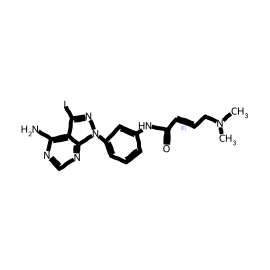 CN(C)C/C=C/C(=O)Nc1cccc(-n2nc(I)c3c(N)ncnc32)c1